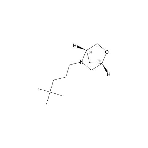 CC(C)(C)CCCN1C[C@@H]2C[C@H]1CO2